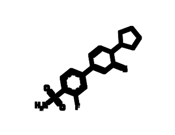 NS(=O)(=O)c1ccc(C2=CC(=S)C(C3CCCC3)C=C2)cc1F